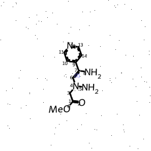 COC(=O)CN(N)/C=C(\N)c1ccncc1